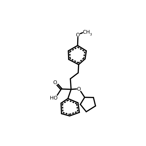 COc1ccc(CCC(OC2CCCC2)(C(=O)O)c2ccccc2)cc1